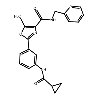 Cc1oc(-c2cccc(NC(=O)C3CC3)c2)nc1C(=O)NCc1ccccn1